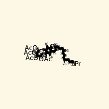 CC(=O)OC[C@H]1O[C@@H](Oc2c(C)c(C)c3c(c2C)CC[C@@](C)(CCC[C@H](C)CCC[C@H](C)CCCC(C)C)O3)[C@H](OC(C)=O)[C@@H](OC(C)=O)[C@@H]1OC(C)=O